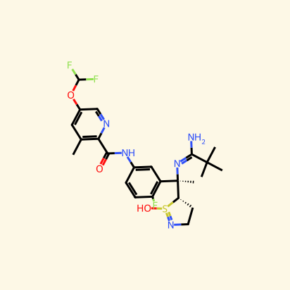 Cc1cc(OC(F)F)cnc1C(=O)Nc1ccc(F)c([C@@](C)(/N=C(/N)C(C)(C)C)[C@@H]2CCN=S2O)c1